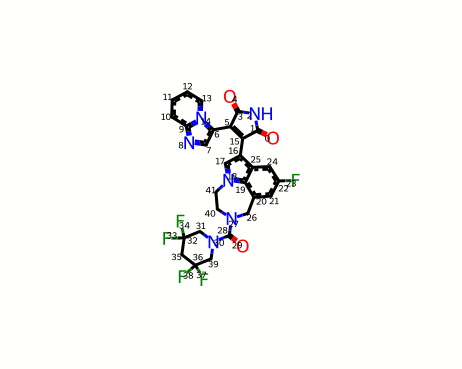 O=C1NC(=O)C(c2cnc3ccccn23)=C1c1cn2c3c(cc(F)cc13)CN(C(=O)N1CC(F)(F)CC(F)(F)C1)CC2